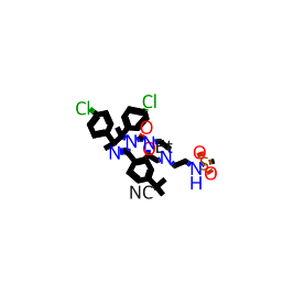 CCOc1cc(C(C)(C)C#N)ccc1C1=NC(C)(c2ccc(Cl)cc2)C(C)(c2ccc(Cl)cc2)N1C(=O)N1CCN(CCNS(C)(=O)=O)CC1